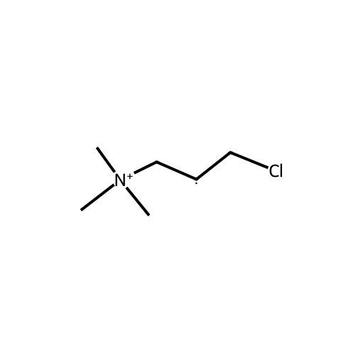 C[N+](C)(C)C[CH]CCl